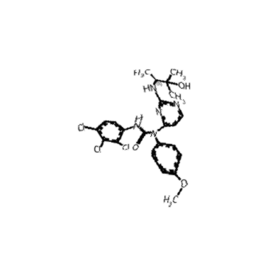 COc1ccc(N(C(=O)Nc2ccc(Cl)c(Cl)c2Cl)c2ccnc(N[C@@H](C)C(C)(C)O)n2)cc1